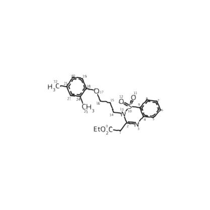 CCOC(=O)CC1=Nc2ccccc2S(=O)(=O)N1CCCOc1ccc(C)cc1C